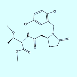 COC(=O)[C@@H](NC(=O)C[C@@H]1CCC(=O)N1Cc1cc(Cl)ccc1Cl)[C@@H](C)OC